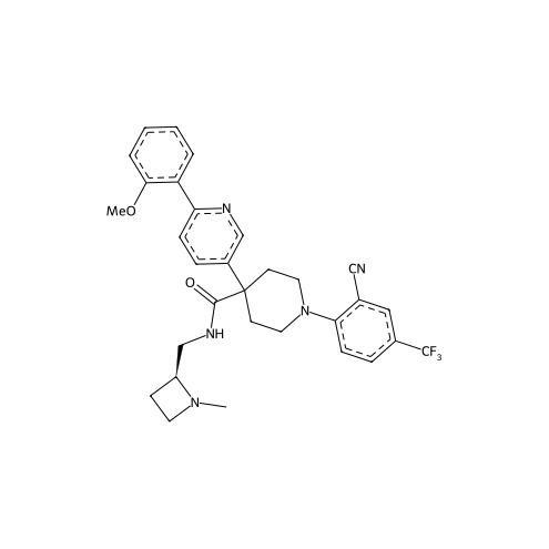 COc1ccccc1-c1ccc(C2(C(=O)NC[C@@H]3CCN3C)CCN(c3ccc(C(F)(F)F)cc3C#N)CC2)cn1